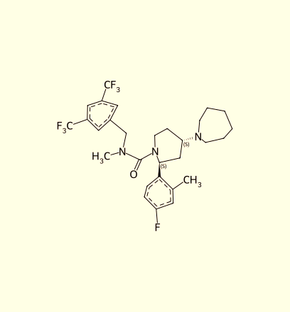 Cc1cc(F)ccc1[C@@H]1C[C@@H](N2CCCCCC2)CCN1C(=O)N(C)Cc1cc(C(F)(F)F)cc(C(F)(F)F)c1